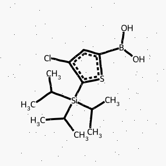 CC(C)[Si](c1sc(B(O)O)cc1Cl)(C(C)C)C(C)C